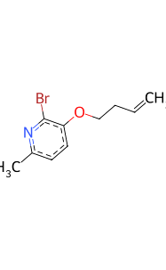 C=CCCOc1ccc(C)nc1Br